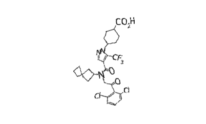 O=C(CN(C(=O)c1cnn(C2CCC(C(=O)O)CC2)c1C(F)(F)F)C1CC2(CCC2)C1)c1c(Cl)cccc1Cl